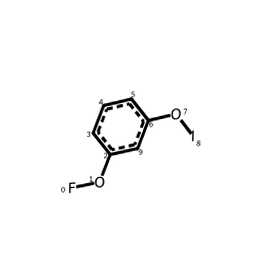 FOc1cccc(OI)c1